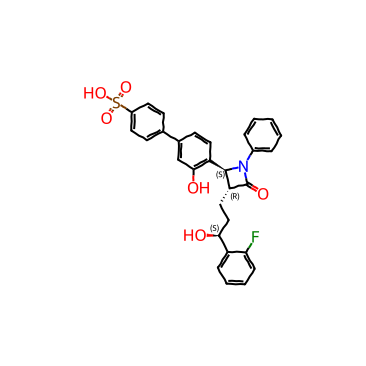 O=C1[C@H](CC[C@H](O)c2ccccc2F)[C@@H](c2ccc(-c3ccc(S(=O)(=O)O)cc3)cc2O)N1c1ccccc1